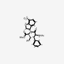 COC(=O)[C@H](CC(C)C)N(C(=O)C(Cc1ccccc1)NC(C)=O)[C@@H]1COc2c1cccc2[N+](=O)[O-]